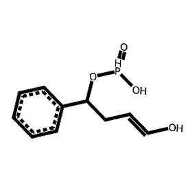 O=[PH](O)OC(CC=CO)c1ccccc1